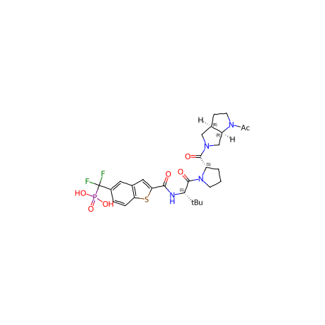 CC(=O)N1CC[C@@H]2CN(C(=O)[C@@H]3CCCN3C(=O)[C@@H](NC(=O)c3cc4cc(C(F)(F)P(=O)(O)O)ccc4s3)C(C)(C)C)C[C@@H]21